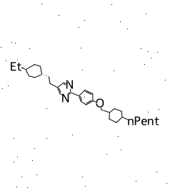 CCCCCC1CCC(COc2ccc(-c3ncc(CC[C@H]4CC[C@H](CC)CC4)cn3)cc2)CC1